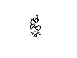 N#CC1(C(=O)N2CCC[C@@H](c3ncc4cnc5[nH]ccc5n34)C2)CC1